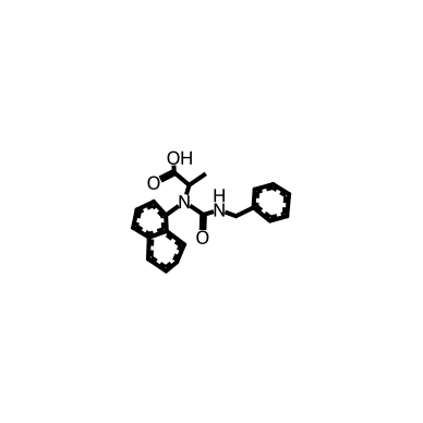 CC(C(=O)O)N(C(=O)NCc1ccccc1)c1cccc2ccccc12